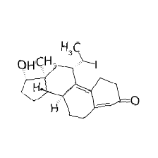 CC(I)[C@H]1C[C@]2(C)[C@@H](O)CC[C@H]2[C@@H]2CCC3=CC(=O)CCC3=C21